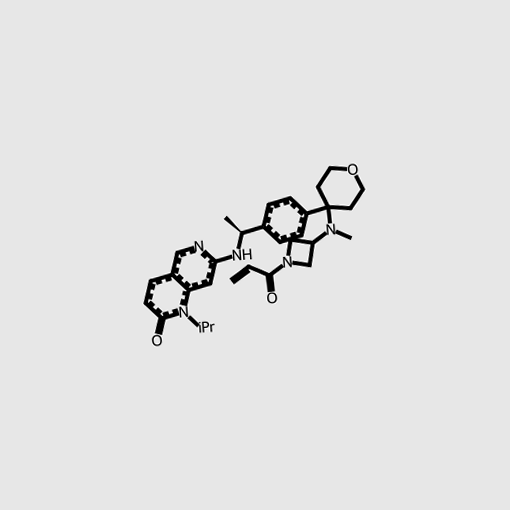 C=CC(=O)N1CC(N(C)C2(c3ccc([C@H](C)Nc4cc5c(ccc(=O)n5C(C)C)cn4)cc3)CCOCC2)C1